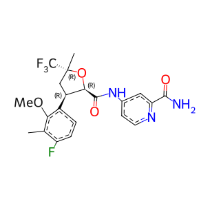 COc1c([C@H]2C[C@](C)(C(F)(F)F)O[C@H]2C(=O)Nc2ccnc(C(N)=O)c2)ccc(F)c1C